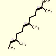 C/C=C(\C)CC/C=C(\C)CC/C=C(\C)SC